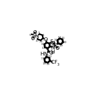 CS(=O)(=O)N1CCC(Oc2ccc(C(=O)Nc3cccc(C(F)(F)F)c3)c(NS(=O)(=O)c3ccccc3)c2F)CC1